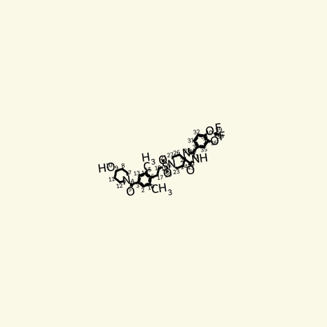 Cc1cc(C(=O)N2CCC(O)CC2)cc(C)c1CCS(=O)(=O)N1CCC2(CC1)N=C(c1ccc3c(c1)OC(F)(F)O3)NC2=O